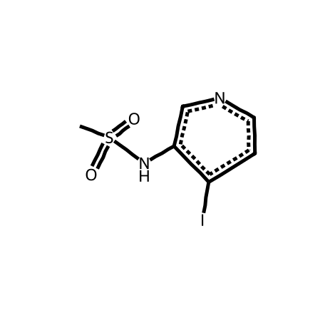 CS(=O)(=O)Nc1cnccc1I